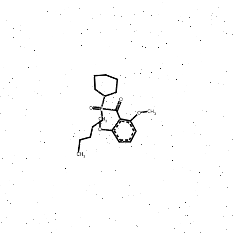 CCCCCP(=O)(C(=O)c1c(OC)cccc1OC)C1CCCCC1